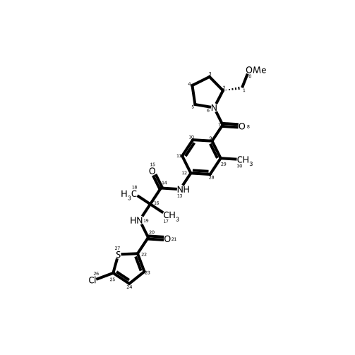 COC[C@H]1CCCN1C(=O)c1ccc(NC(=O)C(C)(C)NC(=O)c2ccc(Cl)s2)cc1C